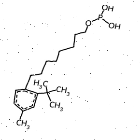 Cc1ccc(CCCCCCCCOP(O)O)c(C(C)(C)C)c1